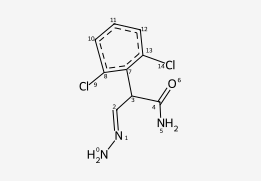 NN=CC(C(N)=O)c1c(Cl)cccc1Cl